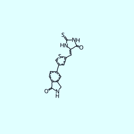 O=C1NC(=S)N/C1=C\c1cc(-c2ccc3c(c2)CNC3=O)cs1